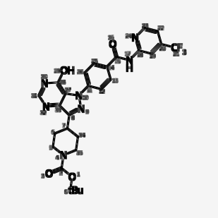 CC(C)(C)OC(=O)N1CCC(c2nn(-c3ccc(C(=O)Nc4cc(C(F)(F)F)ccn4)cc3)c3c(O)ncnc23)CC1